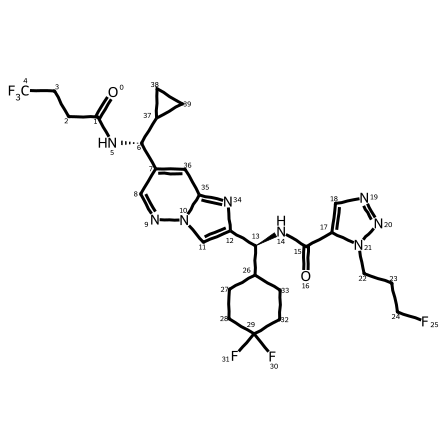 O=C(CCC(F)(F)F)N[C@@H](c1cnn2cc([C@@H](NC(=O)c3cnnn3CCCF)C3CCC(F)(F)CC3)nc2c1)C1CC1